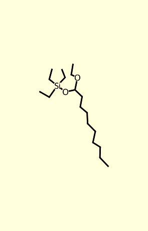 CCCCCCCCCC(OCC)O[Si](CC)(CC)CC